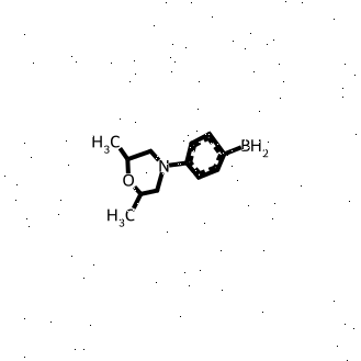 Bc1ccc(N2CC(C)OC(C)C2)cc1